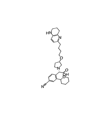 N#Cc1ccc([C@@H](C(=O)O)N2CC[C@@H](OCCCCc3ccc4c(n3)CCCN4)C2)c(C2CCCCO2)c1